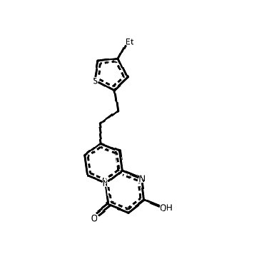 CCc1csc(CCc2ccn3c(=O)cc(O)nc3c2)c1